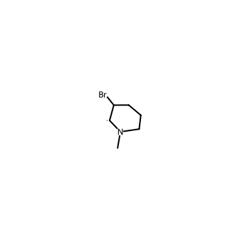 CN1[CH]C(Br)CCC1